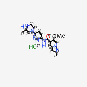 COc1cn2nc(C)cc2cc1C(=O)Nc1ccc(N2CCNC(C)C2)nn1.Cl